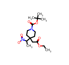 CCOC(=O)CC1(C(C)[N+](=O)[O-])CCN(C(=O)OC(C)(C)C)CC1